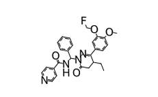 CCC1CC(=O)N(C(NC(=O)c2ccncc2)c2ccccc2)N=C1c1ccc(OC)c(OCF)c1